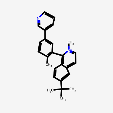 Cc1ccc(-c2cccnc2)cc1-c1c2ccc(C(C)(C)C)cc2cc[n+]1C